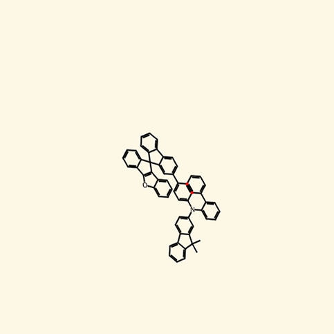 CC1(C)c2ccccc2-c2ccc(N(c3ccc(-c4ccc5c(c4)C4(c6ccccc6-5)c5ccccc5-c5oc6ccccc6c54)cc3)c3ccccc3-c3ccccc3)cc21